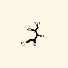 C=CC(=O)C(C)C(O)CO